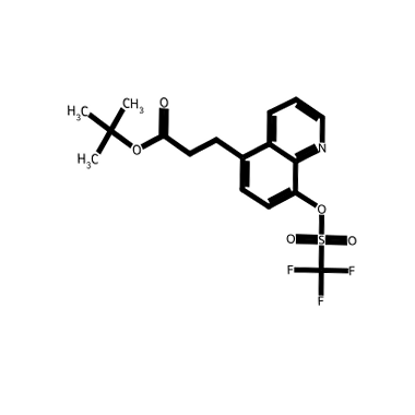 CC(C)(C)OC(=O)CCc1ccc(OS(=O)(=O)C(F)(F)F)c2ncccc12